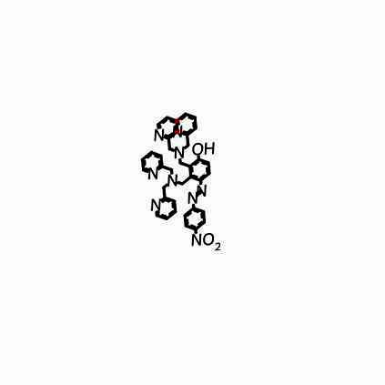 O=[N+]([O-])c1ccc(N=Nc2ccc(O)c(CN(Cc3ccccn3)Cc3ccccn3)c2CN(Cc2ccccn2)Cc2ccccn2)cc1